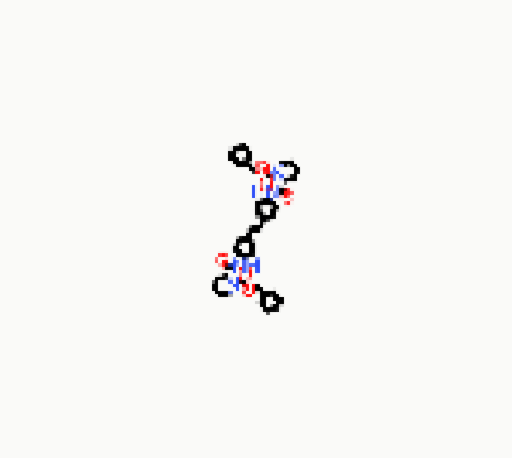 O=C(Nc1ccc(/C=C/c2ccc(NC(=O)[C@@H]3CCCCN3C(=O)OCc3ccccc3)cc2)cc1)[C@@H]1CCCCN1C(=O)OCc1ccccc1